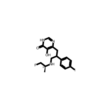 C[C@@H](CF)NCC(Cc1nc[nH]c(=O)c1O)c1ccc(I)cc1